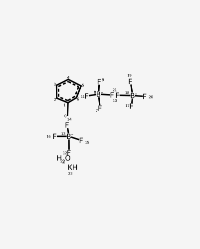 Cc1ccccc1.F[B-](F)(F)F.F[B-](F)(F)F.F[B-](F)(F)F.O.[KH]